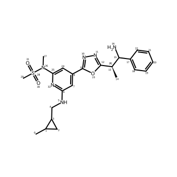 CC1CC1CNc1cc(-c2nnc([C@H](C)C(N)c3ccccc3)o2)cc(N(C)S(C)(=O)=O)n1